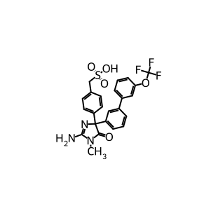 CN1C(=O)C(c2ccc(CS(=O)(=O)O)cc2)(c2cccc(-c3cccc(OC(F)(F)F)c3)c2)N=C1N